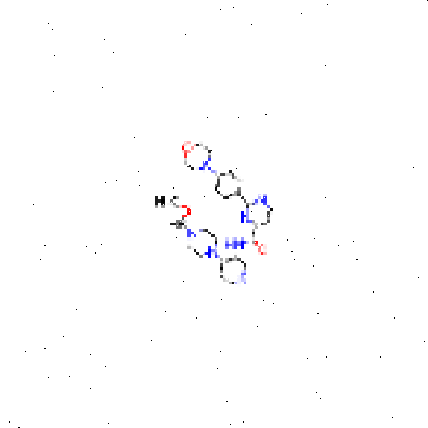 COBN1CCN(c2ccncc2NC(=O)c2ccnc(-c3ccc(N4CCOCC4)cc3)n2)CC1